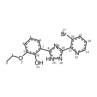 CCOc1cccc(-c2nc(-c3ncccc3Br)n[nH]2)c1O